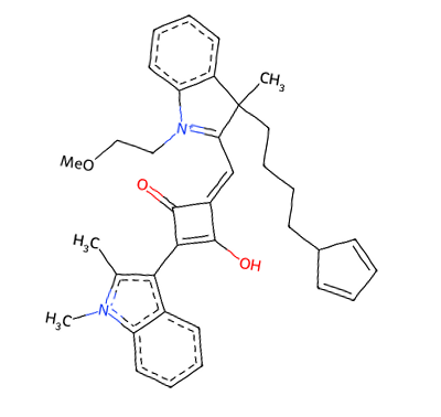 COCC[N+]1=C(/C=C2\C(=O)C(c3c(C)n(C)c4ccccc34)=C2O)C(C)(CCCCC2C=CC=C2)c2ccccc21